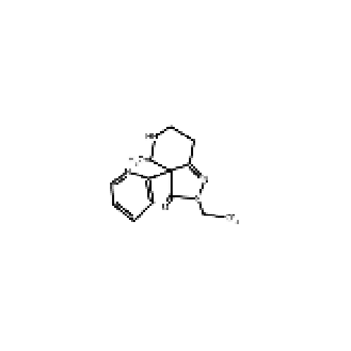 CC1NCCC2=NN(CC(F)(F)F)C(=O)C21c1ccccn1